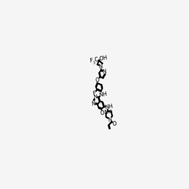 C=CC(=O)N1CCC(Nc2cc3c(Nc4ccc(Oc5ccnc(N6CC(O)(C(F)(F)F)C6)c5)cc4F)ncnc3cc2OC)CC1